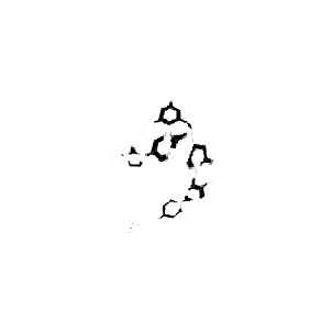 CCOC(=O)C1CCN(c2ncc(Cl)c(N3C[C@@H](N(Cc4cc(C(F)(F)F)cc(C(F)(F)F)c4)c4ncc(N5CCN(C)C5=O)cn4)CC3CC)n2)CC1